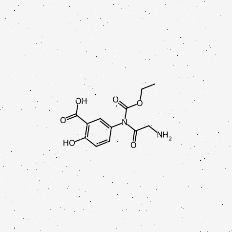 CCOC(=O)N(C(=O)CN)c1ccc(O)c(C(=O)O)c1